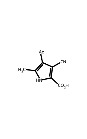 CC(=O)c1c(C)[nH]c(C(=O)O)c1C#N